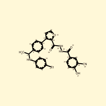 CCc1ccc(NC(C)c2ccc(-c3ccoc3C(=O)NNC(=O)c3ccc(O)c(C#N)c3)cc2)cc1